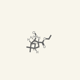 CCOC(=O)[C@@H]1C[C@H]2C[C@@H]([C@H]1NCl)C2(C)C